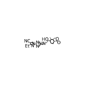 CCc1nn(-c2ncc(CNC[C@H](O)c3ccc4c(c3C)COC4=O)cn2)cc1C#N